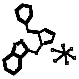 C1=CC(=Cc2ccccc2)[N+](On2nnc3ccccc32)=C1.[Cl][Sb-]([Cl])([Cl])([Cl])([Cl])[Cl]